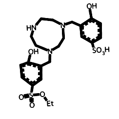 CCOS(=O)(=O)c1ccc(O)c(CN2CCNCCN(Cc3cc(S(=O)(=O)O)ccc3O)CC2)c1